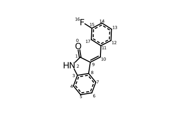 O=C1Nc2ccccc2C1=Cc1cccc(F)c1